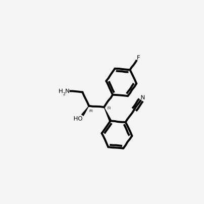 N#Cc1ccccc1[C@H](c1ccc(F)cc1)[C@@H](O)CN